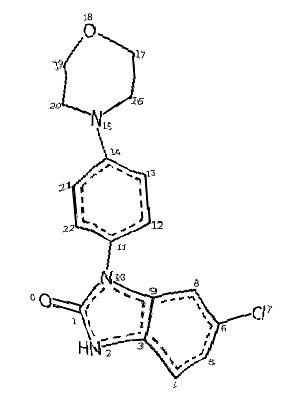 O=c1[nH]c2ccc(Cl)cc2n1-c1ccc(N2CCOCC2)cc1